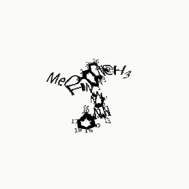 COc1cc2c(cc1Nc1ncc3ncn(-c4ccccc4)c3n1)CN(C)CC2